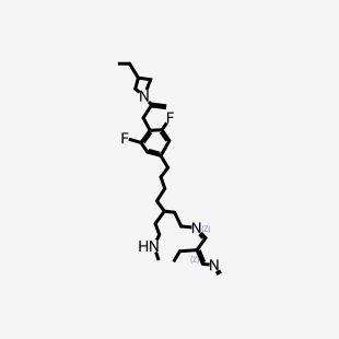 C=N/C=C(\C=N/CCC(CCCCc1cc(F)c(CC(=C)N2CC(CC)C2)c(F)c1)CCNC)CC